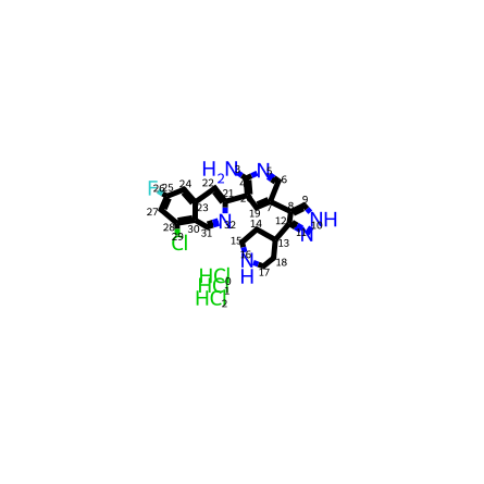 Cl.Cl.Cl.Nc1ncc(-c2c[nH]nc2C2CCNCC2)cc1-c1cc2cc(F)cc(Cl)c2cn1